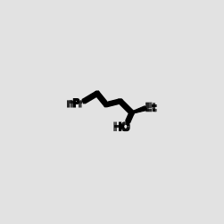 CCCCCC[C@H](O)CC